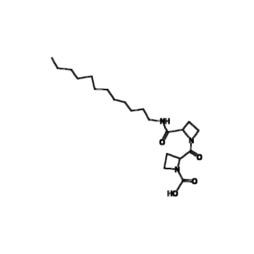 CCCCCCCCCCCCNC(=O)C1CCN1C(=O)C1CCN1C(=O)O